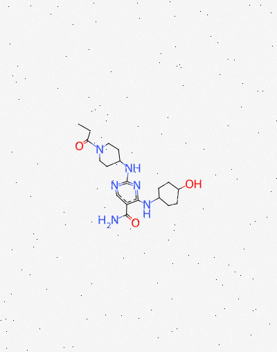 CCC(=O)N1CCC(Nc2ncc(C(N)=O)c(NC3CCC(O)CC3)n2)CC1